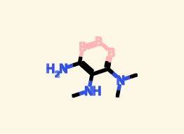 CNc1c(N)bbbc1N(C)C